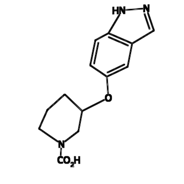 O=C(O)N1CCCC(Oc2ccc3[nH]ncc3c2)C1